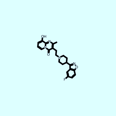 Cc1nc2c(O)cccn2c(=O)c1CCN1CCC(c2noc3ccc(F)cc23)CC1